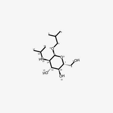 CC(C)CO[C@H]1O[C@H](CO)[C@@H](O)[C@H](O)[C@H]1NC(C)C